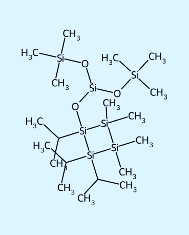 CC(C)[Si]1(O[Si](O[Si](C)(C)C)O[Si](C)(C)C)[Si](C)(C)[Si](C)(C)[Si]1(C(C)C)C(C)C